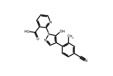 Cc1cc(C#N)ccc1-c1cnn(-c2ncccc2C(=O)O)c1O